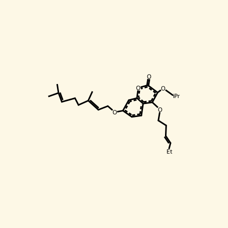 CCC=CCCOc1c(OC(C)C)c(=O)oc2cc(OC/C=C(\C)CCC=C(C)C)ccc12